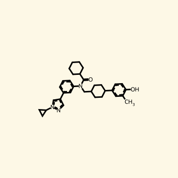 Cc1cc(C2CCC(CN(C(=O)C3CCCCC3)c3cccc(-c4cnn(C5CC5)c4)c3)CC2)ccc1O